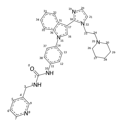 O=C(NCc1cccnc1)Nc1ccc(-n2cc(-c3nccn3CCN3CCCCC3)c3ccccc32)cc1